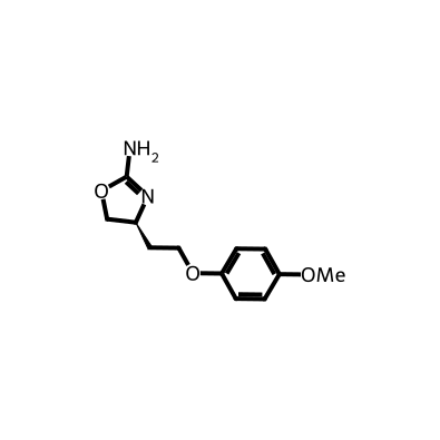 COc1ccc(OCC[C@H]2COC(N)=N2)cc1